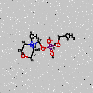 CCOP(=O)([O-])OC[N+]1(C)CCOCC1